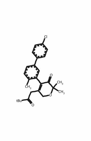 Cc1ccc(-c2ccc(Cl)cc2)cc1C1=C(CC(=O)C(C)(C)C)COC(C)(C)C1=O